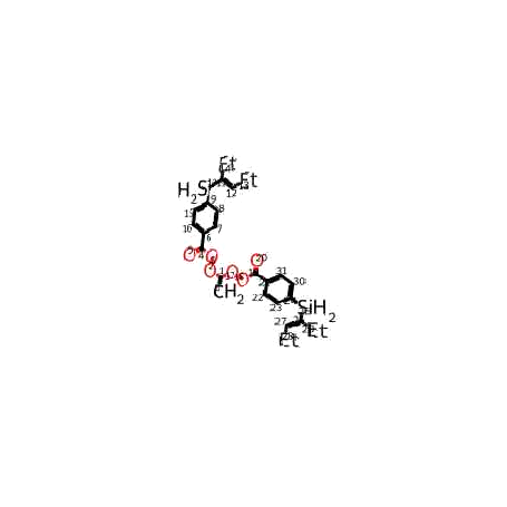 C=C(OOC(=O)c1ccc([SiH2]C(=CCC)CC)cc1)OOC(=O)c1ccc([SiH2]C(=CCC)CC)cc1